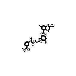 COc1cnc2c(-c3nc4cc(F)c5c(c4s3)CC(COC(=O)Nc3cccc(C(=O)N(C)C)c3)O5)cc(C)cc2n1